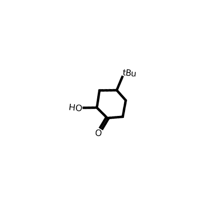 CC(C)(C)C1CCC(=O)C(O)C1